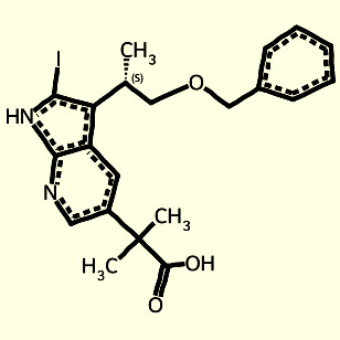 C[C@H](COCc1ccccc1)c1c(I)[nH]c2ncc(C(C)(C)C(=O)O)cc12